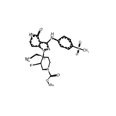 CC(C)(C)OC(=O)N1CC[C@@](CC#N)(n2nc(Nc3ccc(S(C)(=O)=O)cc3)c3c(=O)[nH]ccc32)C(F)C1